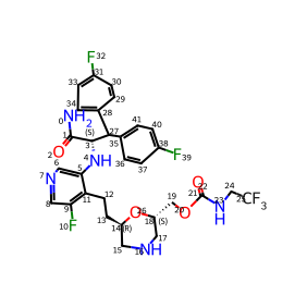 NC(=O)[C@@H](Nc1cncc(F)c1CC[C@@H]1CNC[C@@H](COC(=O)NCC(F)(F)F)O1)C(c1ccc(F)cc1)c1ccc(F)cc1